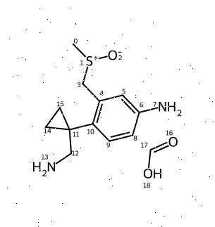 C[S+]([O-])Cc1cc(N)ccc1C1(CN)CC1.O=CO